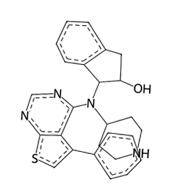 OC1Cc2ccccc2C1N(c1ncnc2scc(-c3ccccc3)c12)C1CCNCC1